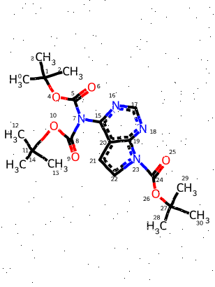 CC(C)(C)OC(=O)N(C(=O)OC(C)(C)C)c1ncnc2c1ccn2C(=O)OC(C)(C)C